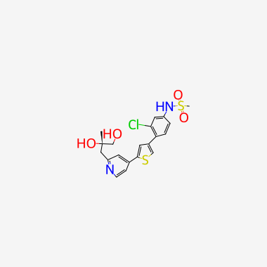 C[C@@](O)(CO)Cc1cc(-c2cc(-c3ccc(NS(C)(=O)=O)cc3Cl)cs2)ccn1